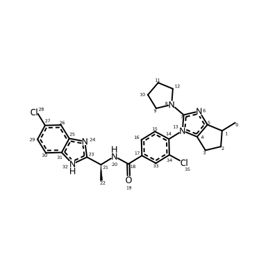 CC1CCc2c1nc(N1CCCC1)n2-c1ccc(C(=O)N[C@@H](C)c2nc3cc(Cl)ccc3[nH]2)cc1Cl